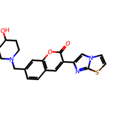 O=c1oc2cc(CN3CCC(O)CC3)ccc2cc1-c1cn2ccsc2n1